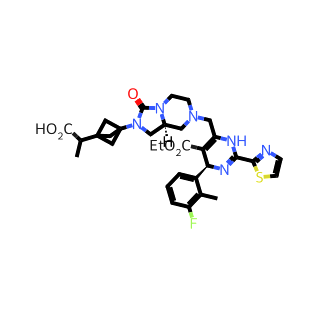 CCOC(=O)C1=C(CN2CCN3C(=O)N(C45CC(C(C)C(=O)O)(C4)C5)C[C@@H]3C2)NC(c2nccs2)=N[C@H]1c1cccc(F)c1C